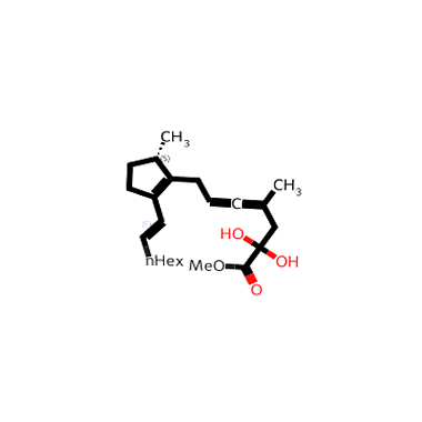 CCCCCC/C=C/C1=C(CC=C=C(C)CC(O)(O)C(=O)OC)[C@@H](C)CC1